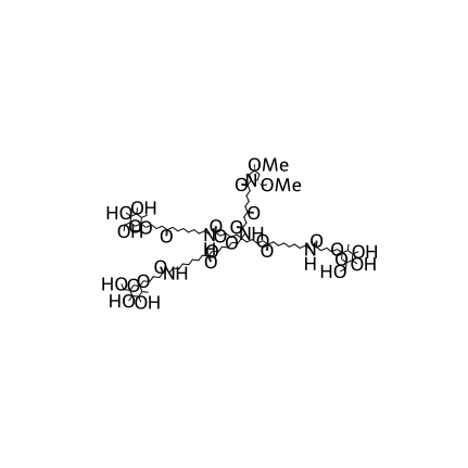 COC[C@H]1C[C@H](OC)CN1C(=O)CCCCC(=O)CCC(=O)NC(CCCOC(=O)CCCCCCCNC(=O)CCCOC1OC(CO)C(O)C(O)C1C)(CCCOC(=O)NCCCCCCCC(=O)CCCOC1OC(CO)C(O)C(O)C1C)COCCCOC(=O)CCCCCCCNC(=O)CCCOC1OC(CO)C(O)C(O)C1C